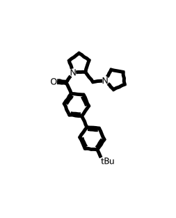 CC(C)(C)c1ccc(-c2ccc(C(=O)N3CCCC3CN3CCCC3)cc2)cc1